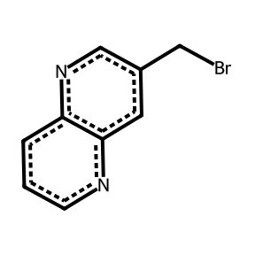 BrCc1cnc2cccnc2c1